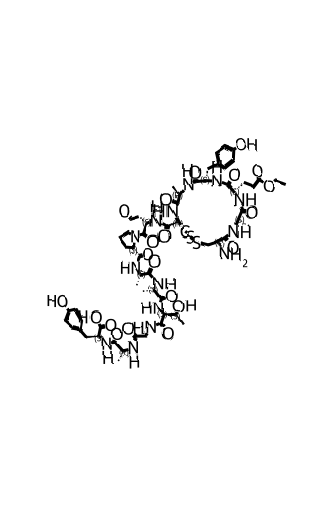 CCOC(=O)CC[C@@H]1NC(=O)[C@H](C)NC(=O)[C@@H](N)CSSC[C@@H](C(=O)N[C@@H](CC=O)C(=O)N2CCC[C@H]2C(=O)N[C@@H](C)C(=O)N[C@@H](C)C(=O)N[C@H](C(=O)NCC(=O)N[C@H](C)C(=O)N[C@@H](Cc2ccc(O)cc2)C(=O)O)[C@H](C)O)NC(=O)[C@@H](C)NC(=O)[C@H](Cc2ccc(O)cc2)NC1=O